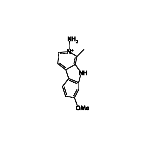 COc1ccc2c(c1)[nH]c1c(C)[n+](N)ccc12